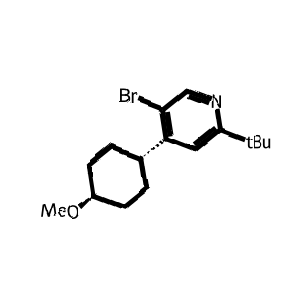 CO[C@H]1CC[C@H](c2cc(C(C)(C)C)ncc2Br)CC1